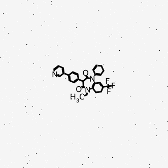 CCN1C(=O)C(c2ccc(-c3cccnc3)cc2)C(=O)N(C2=CCCC=C2)C2=C1CCC(C(F)(F)F)=C2